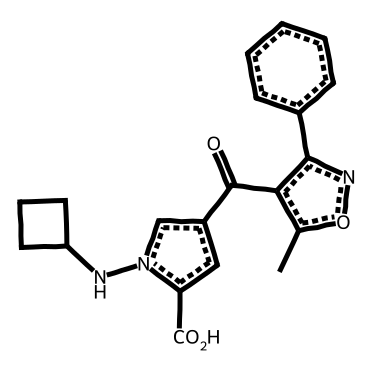 Cc1onc(-c2ccccc2)c1C(=O)c1cc(C(=O)O)n(NC2CCC2)c1